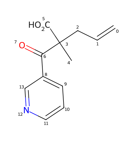 C=CCC(C)(C(=O)O)C(=O)c1cccnc1